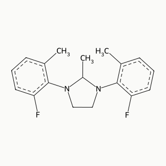 Cc1cccc(F)c1N1CCN(c2c(C)cccc2F)C1C